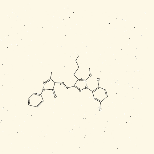 CCCCc1c(N=NC2C(=O)N(c3ccccc3)N=C2C)nn(-c2cc(Cl)ccc2Cl)c1OC